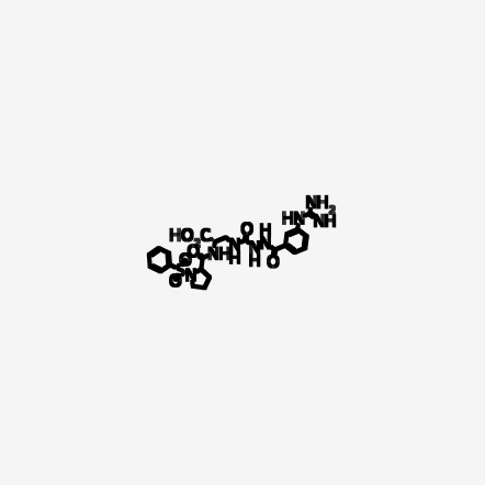 N=C(N)Nc1cccc(C(=O)NNC(=O)NC[C@H](NC(=O)C2CCCN2S(=O)(=O)c2ccccc2)C(=O)O)c1